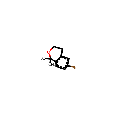 CC1(C)OCCc2cc(Br)ccc21